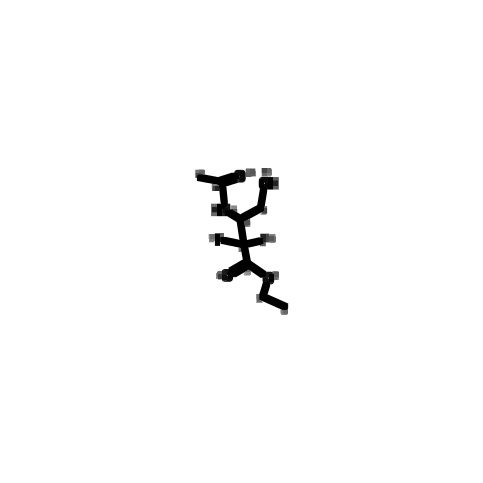 CCOC(=O)C(F)(F)C(CO)NC(C)=O